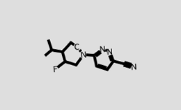 CC(C)C1CCN(c2ccc(C#N)nn2)CC1F